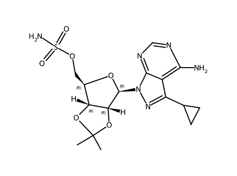 CC1(C)O[C@@H]2[C@H](O1)[C@@H](COS(N)(=O)=O)O[C@H]2n1nc(C2CC2)c2c(N)ncnc21